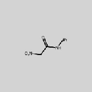 CC(C)NC(=O)C[N+](=O)[O-]